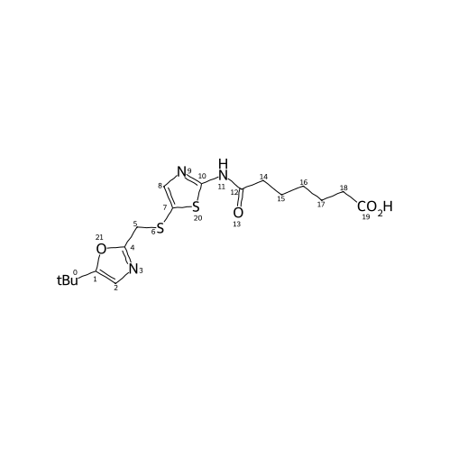 CC(C)(C)c1cnc(CSc2cnc(NC(=O)CCCCCC(=O)O)s2)o1